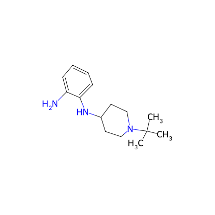 CC(C)(C)N1CCC(Nc2ccccc2N)CC1